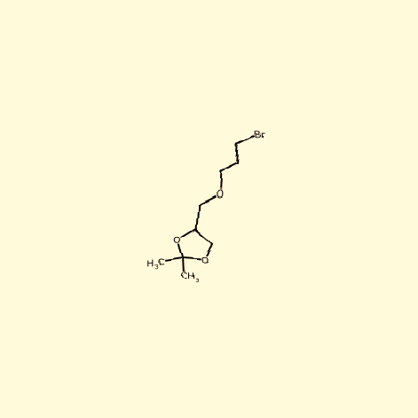 CC1(C)OCC(COCCCBr)O1